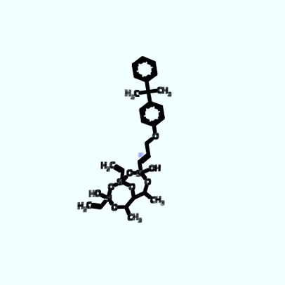 C=C[Si]1(O)OC(C)C2O[Si](C=C)(O1)O[Si](O)(/C=C/COc1ccc(C(C)(C)c3ccccc3)cc1)OC2C